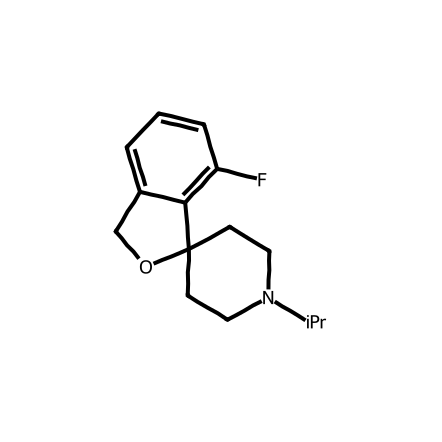 CC(C)N1CCC2(CC1)OCc1cccc(F)c12